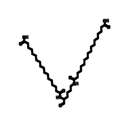 O=CC(CCCCNC(=O)CCCCCCCCCCCCCCCCC(=O)O)NC(=O)CCCCCCCCCCCCCCCCC(=O)O